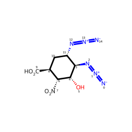 [N-]=[N+]=N[C@H]1[C@H](O)[C@H]([N+](=O)[O-])[C@@H](C(=O)O)C[C@@H]1N=[N+]=[N-]